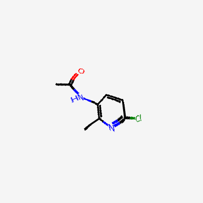 CC(=O)Nc1ccc(Cl)nc1C